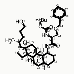 C[C@H](CCCO)[C@H]1CC[C@H]2[C@@H]3CC[C@@H]4CCCC(NC(=O)[C@H](COCc5ccccc5)NC(=O)OC(C)(C)C)[C@]4(C)[C@H]3CC[C@]12C